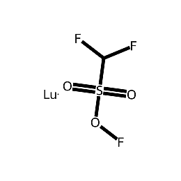 O=S(=O)(OF)C(F)F.[Lu]